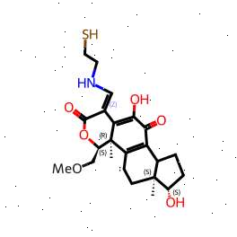 COC[C@H]1OC(=O)/C(=C\NCCS)C2=C(O)C(=O)C3=C([C]C[C@@]4(C)C3CC[C@@H]4O)[C@]21C